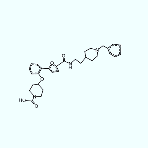 O=C(NCCC1CCN(Cc2ccccc2)CC1)c1ccc(-c2ccccc2OC2CCN(C(=O)O)CC2)o1